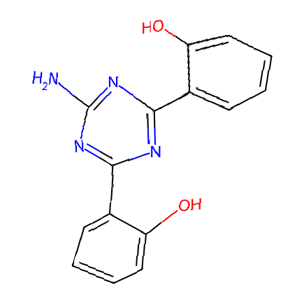 Nc1nc(-c2ccccc2O)nc(-c2ccccc2O)n1